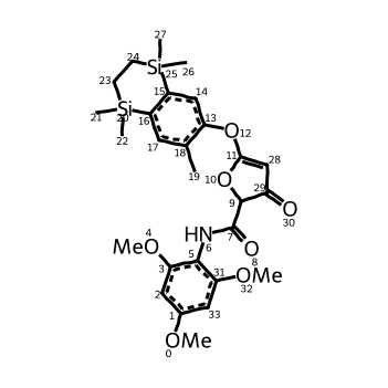 COc1cc(OC)c(NC(=O)C2OC(Oc3cc4c(cc3C)[Si](C)(C)CC[Si]4(C)C)=CC2=O)c(OC)c1